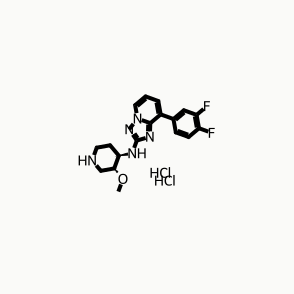 CO[C@@H]1CNCC[C@H]1Nc1nc2c(-c3ccc(F)c(F)c3)cccn2n1.Cl.Cl